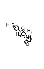 CN1CCC(NC(=O)C(C)(C)COc2nccc3occc23)CC1